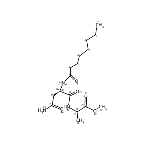 CCCCCCCC(=O)N[C@H](CC(N)=O)C(=O)N[C@H](C)C(=O)OC